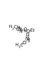 CCc1cc(OCc2csc(-c3ccc(C)cc3)n2)c2cc(-c3cn4nc(C)ccc4n3)oc2c1